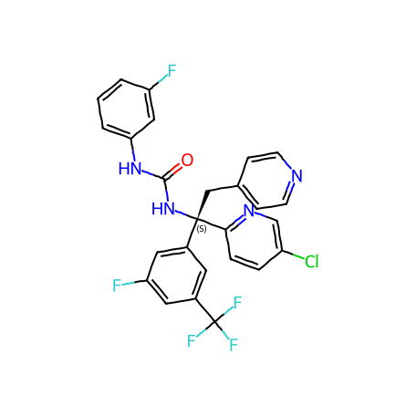 O=C(Nc1cccc(F)c1)N[C@@](Cc1ccncc1)(c1cc(F)cc(C(F)(F)F)c1)c1ccc(Cl)cn1